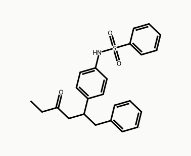 CCC(=O)CC(Cc1c[c]ccc1)c1ccc(NS(=O)(=O)c2ccccc2)cc1